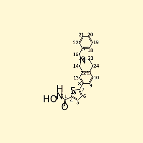 O=C(NO)c1ccc(-c2ccc3c(c2)CN(Cc2ccccc2)CC3)s1